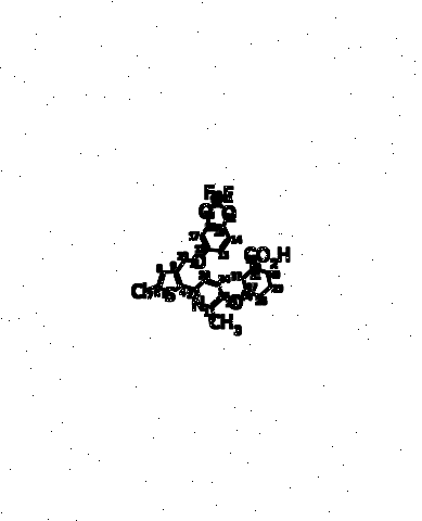 Cc1nc(-c2sc(Cl)cc2COc2ccc3c(c2)OC(F)(F)O3)ccc1O[C@H]1CCC[C@H](C(=O)O)C1